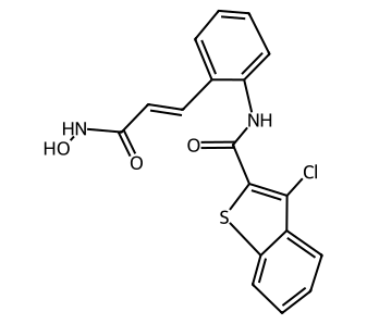 O=C(/C=C/c1ccccc1NC(=O)c1sc2ccccc2c1Cl)NO